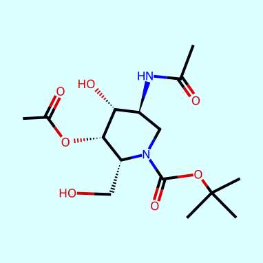 CC(=O)N[C@H]1CN(C(=O)OC(C)(C)C)[C@H](CO)[C@H](OC(C)=O)[C@@H]1O